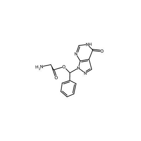 NCC(=O)OC(c1ccccc1)n1ncc2c(=O)[nH]cnc21